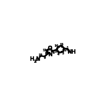 N=Cc1ccc(-c2nc(CCN)co2)cc1